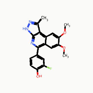 COc1cc2c(-c3ccc(O)c(F)c3)nc3[nH]nc(C)c3c2cc1OC